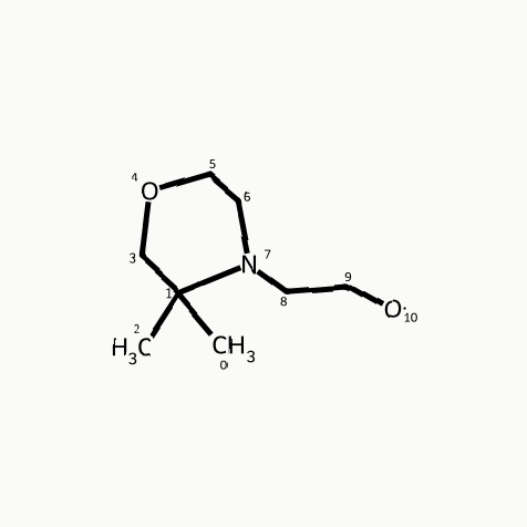 CC1(C)COCCN1CC[O]